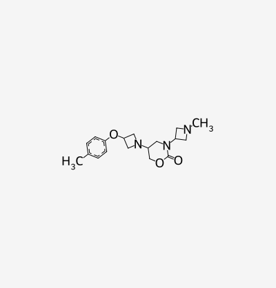 Cc1ccc(OC2CN(C3COC(=O)N(C4CN(C)C4)C3)C2)cc1